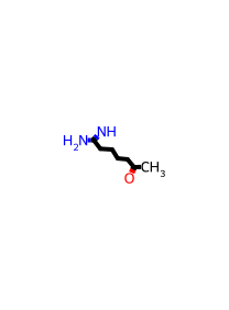 CC(=O)CCCCC(=N)N